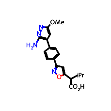 COc1cc(-c2ccc(-c3cc(C(C(=O)O)C(C)C)on3)cc2)c(N)nn1